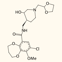 COc1c(Cl)cc(C(=O)NC[C@@H]2CCN(CC3OCCO3)CC2O)c2c1OCCCO2